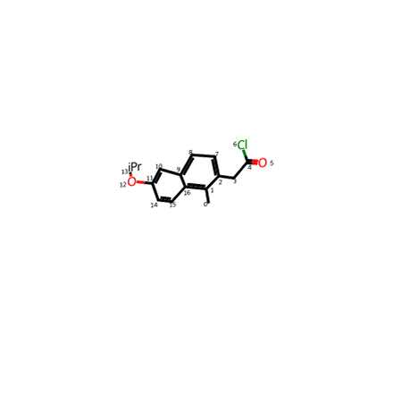 Cc1c(CC(=O)Cl)ccc2cc(OC(C)C)ccc12